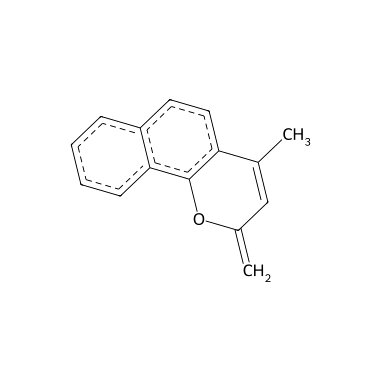 C=C1C=C(C)c2ccc3ccccc3c2O1